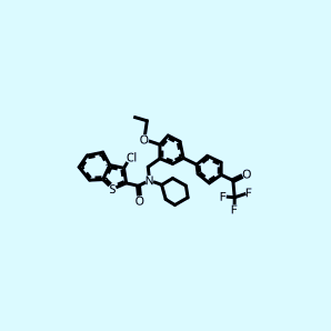 CCOc1ccc(-c2ccc(C(=O)C(F)(F)F)cc2)cc1CN(C(=O)c1sc2ccccc2c1Cl)C1CCCCC1